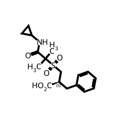 CC(C)(C(=O)NC1CC1)S(=O)(=O)C[C@@H](Cc1ccccc1)C(=O)O